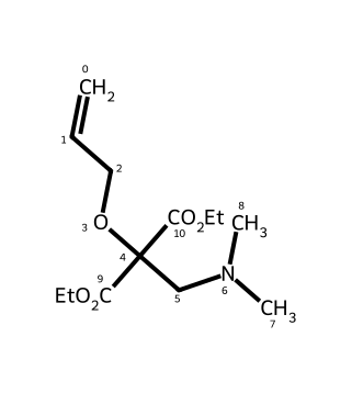 C=CCOC(CN(C)C)(C(=O)OCC)C(=O)OCC